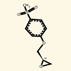 CS(=O)(=O)c1ccc(OC[C@H]2CO2)cc1